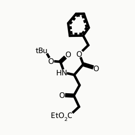 CCOC(=O)CC(=O)CC(NC(=O)OC(C)(C)C)C(=O)OCc1ccccc1